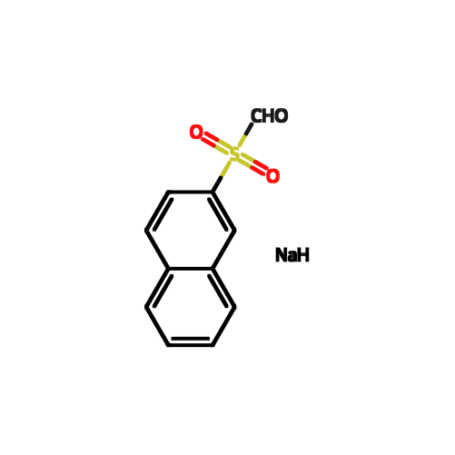 O=CS(=O)(=O)c1ccc2ccccc2c1.[NaH]